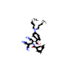 CCCCN(CCCC)c1ccc(C2C(=O)N(C(=O)c3ccccc3)C(=C(C#N)C#N)C2C#N)cc1